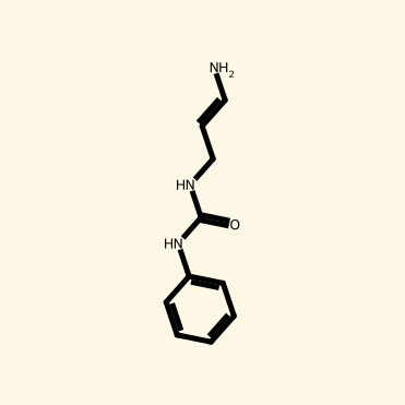 NC=CCNC(=O)Nc1ccccc1